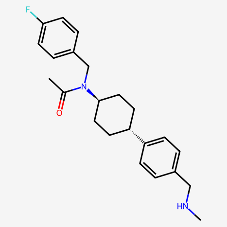 CNCc1ccc([C@H]2CC[C@H](N(Cc3ccc(F)cc3)C(C)=O)CC2)cc1